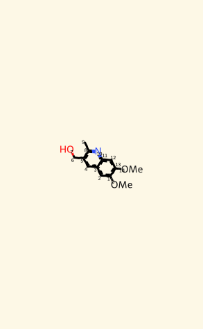 COc1cc2cc(CO)c(C)nc2cc1OC